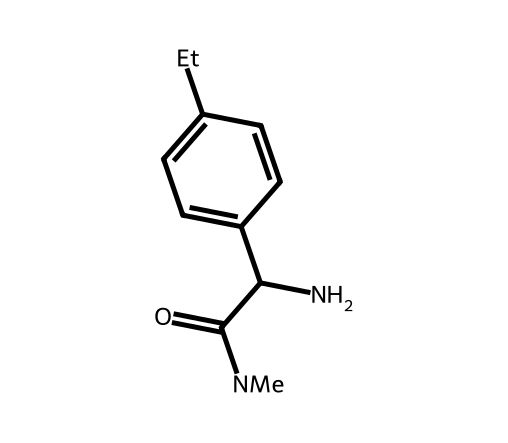 CCc1ccc(C(N)C(=O)NC)cc1